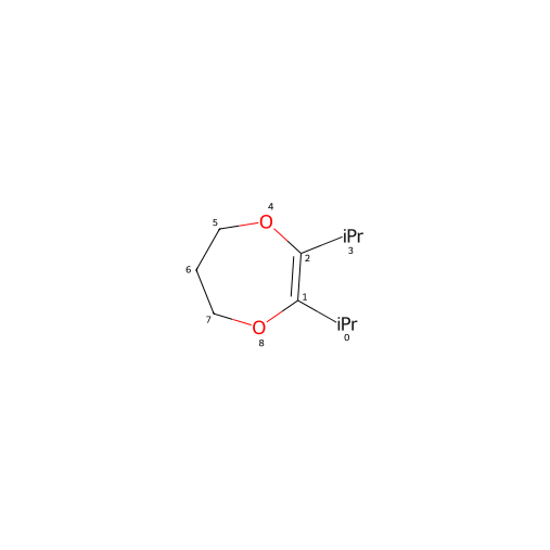 CC(C)C1=C(C(C)C)OCCCO1